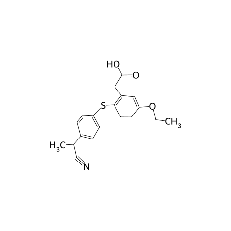 CCOc1ccc(Sc2ccc(C(C)C#N)cc2)c(CC(=O)O)c1